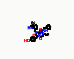 C=CCN1CC(=O)N2[C@@H](Cc3ccc(O)cc3)C(=O)N(CC3=CCCc4c(C(C)=O)c[nH]c43)C[C@@H]2N1C(=O)NCc1ccccc1